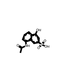 CC(=O)Nc1cccc2c(O)cc(S(=O)(=O)O)cc12